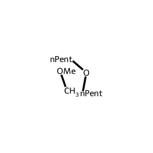 CCCCCOCCCCC.COC